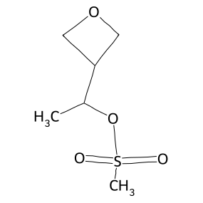 CC(OS(C)(=O)=O)C1COC1